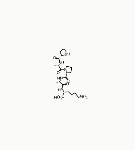 C[C@H](NC(=O)[C@@H]1CCCN1C(=O)[C@H](C)NC(=O)[C@@H]1CCCN1)C(=O)N[C@@H](CCCCN)C(=O)O